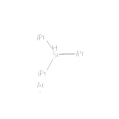 CC(C)[SiH](C(C)C)C(C)C.[Ar]